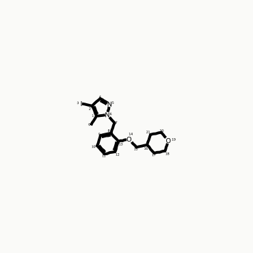 Cc1c(I)cnn1Cc1ccccc1OCC1CCOCC1